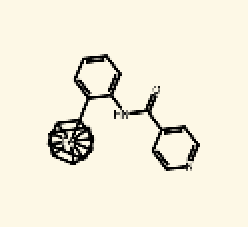 O=C(Nc1ccccc1[C]12[CH]3[CH]4[CH]5[CH]1[Fe]45321678[CH]2[CH]1[CH]6[CH]7[CH]28)c1ccncc1